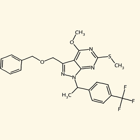 COc1nc(SC)nc2c1c(COCc1ccccc1)nn2C(C)c1ccc(C(F)(F)F)cc1